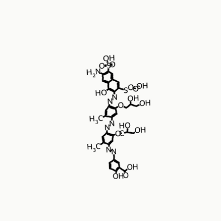 Cc1cc(N=Nc2cc(OCC(O)CO)c(N=Nc3c(SOOO)cc4cc(S(=O)(=O)O)c(N)cc4c3O)cc2C)c(OCC(O)CO)cc1N=Nc1ccc(O)c(C(=O)O)c1